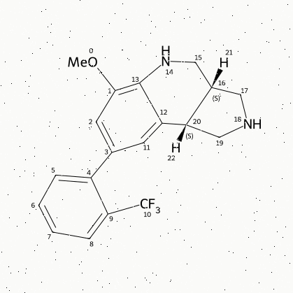 COc1cc(-c2ccccc2C(F)(F)F)cc2c1NC[C@@H]1CNC[C@H]21